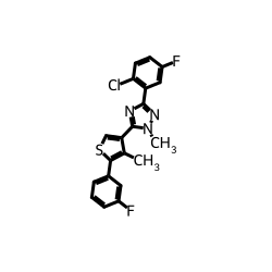 Cc1c(-c2nc(-c3cc(F)ccc3Cl)nn2C)csc1-c1cccc(F)c1